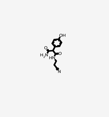 N#CCCNC(=O)C(C(N)=O)c1ccc(O)cc1